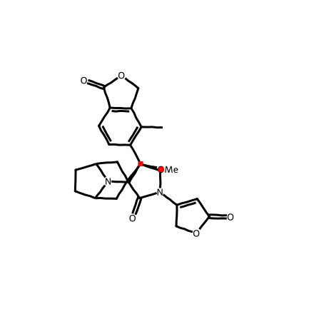 CO[C@@H](CN1C2CCC1CC1(CCN(C3=CC(=O)OC3)C1=O)C2)c1ccc2c(c1C)COC2=O